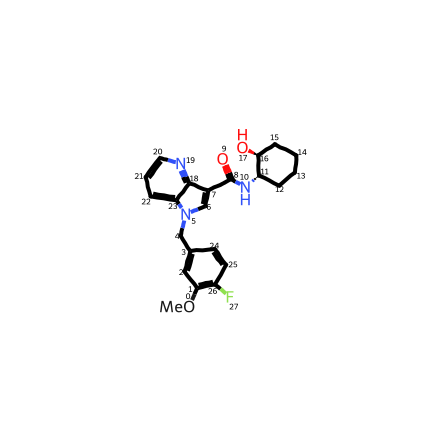 COc1cc(Cn2cc(C(=O)N[C@H]3CCCC[C@@H]3O)c3ncccc32)ccc1F